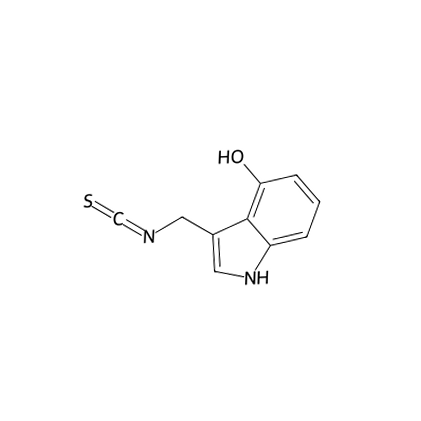 Oc1cccc2[nH]cc(CN=C=S)c12